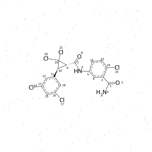 NC(=O)c1cc(NC(=O)[C@@H]2[C@@H](c3cc(Cl)cc(Cl)c3)C2(Cl)Cl)ccc1Cl